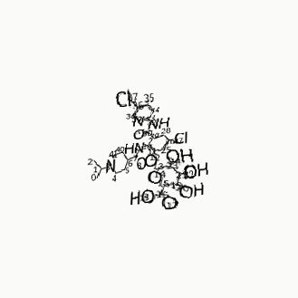 CC(C)N1CCC(C(=O)Nc2c(O[C@@H]3O[C@H](C(=O)O)[C@@H](O)[C@H](O)[C@H]3O)cc(Cl)cc2C(=O)Nc2ccc(Cl)cn2)CC1